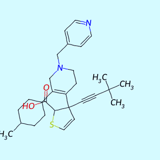 CC1CCC(C2=C(C3(C#CC(C)(C)C)C=CSC3C(=O)O)CCN(Cc3ccncc3)C2)CC1